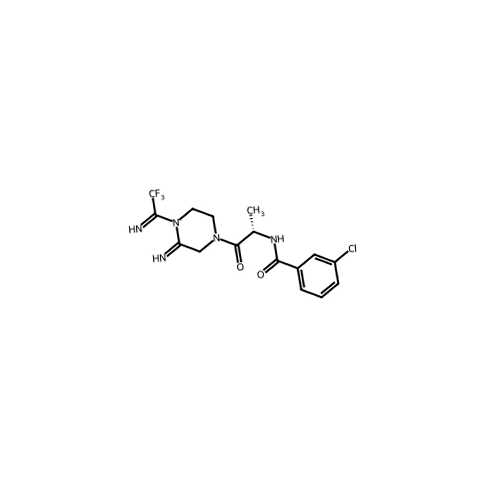 C[C@H](NC(=O)c1cccc(Cl)c1)C(=O)N1CCN(C(=N)C(F)(F)F)C(=N)C1